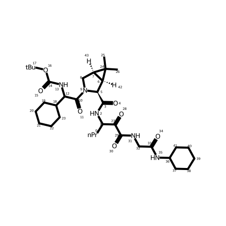 CCCC(NC(=O)[C@@H]1[C@H]2[C@@H](CN1C(=O)C(NC(=O)OC(C)(C)C)C1CCCCC1)C2(C)C)C(=O)C(=O)NCC(=O)NC1CCCCC1